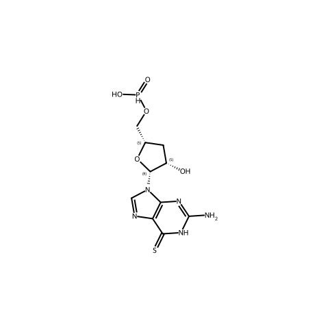 Nc1nc2c(ncn2[C@@H]2O[C@H](CO[PH](=O)O)C[C@@H]2O)c(=S)[nH]1